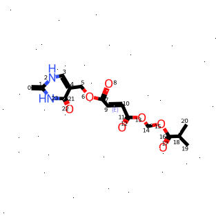 C=C1NC=C(COC(=O)/C=C/C(=O)OCOC(=O)C(C)C)C(=O)N1